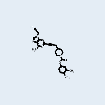 C#CCn1cnc2c(N)nc(C#CCC3CCN(C(=O)Oc4ccc(C)c(C)c4)CC3)nc21